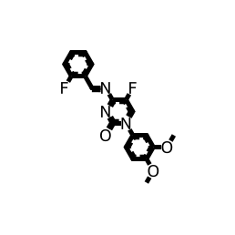 COc1ccc(-n2cc(F)c(/N=C/c3ccccc3F)nc2=O)cc1OC